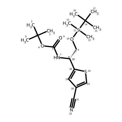 CC(C)(C)OC(=O)N[C@H](CO[Si](C)(C)C(C)(C)C)c1cc(C#N)cs1